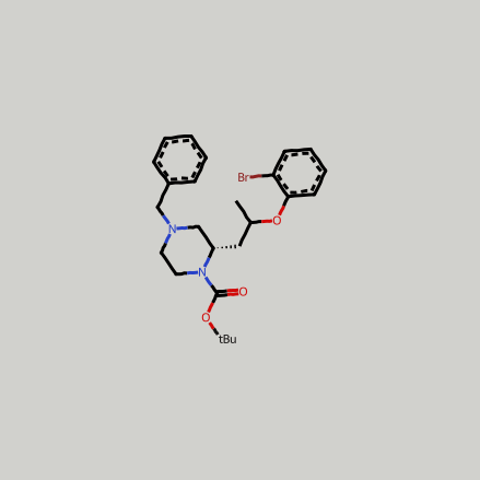 CC(C[C@H]1CN(Cc2ccccc2)CCN1C(=O)OC(C)(C)C)Oc1ccccc1Br